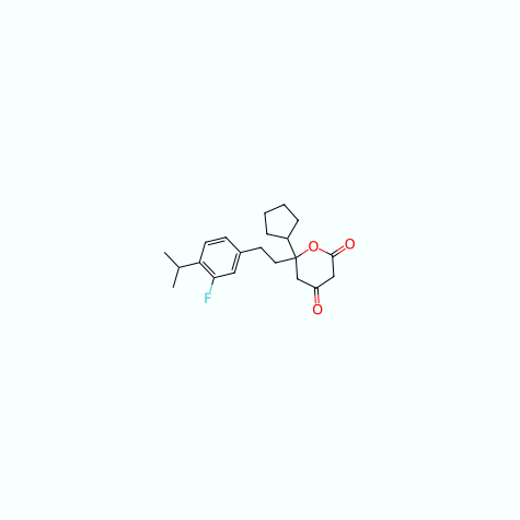 CC(C)c1ccc(CCC2(C3CCCC3)CC(=O)CC(=O)O2)cc1F